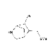 CSCC1C2CNC(C2)C1C(C)C